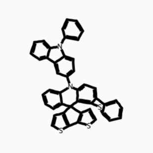 c1ccc(-n2c3ccccc3c3cc(N4c5ccccc5C5(c6ccsc6-c6sccc65)c5c4ccc4c5sc5ccccc54)ccc32)cc1